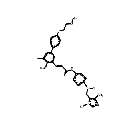 CCCCOCCOc1ccc(-c2cc(F)c(OC)c(/C=C/C(=O)Nc3ccc([S+]([O-])Cc4c(C)ncn4CC)cc3)c2)cc1